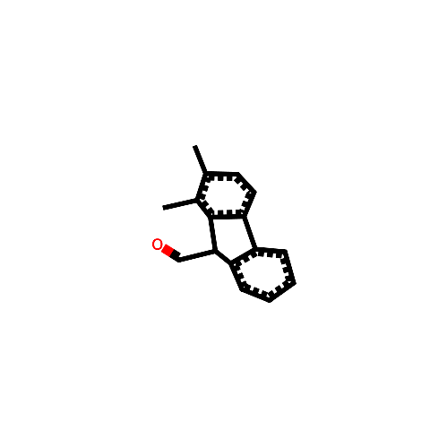 Cc1ccc2c(c1C)C(C=O)c1ccccc1-2